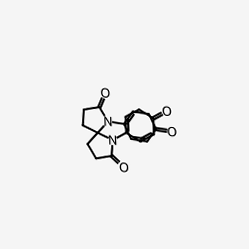 O=C1C=CC(N2C(=O)CCC23CCC(=O)N3C2=CCC(=O)C=C2)=CC1